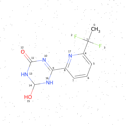 CC(F)(F)c1cccc(C2=NC(=O)NC(O)N2)n1